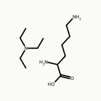 CCN(CC)CC.NCCCCC(N)C(=O)O